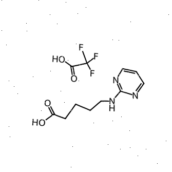 O=C(O)C(F)(F)F.O=C(O)CCCCNc1ncccn1